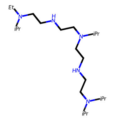 CCN(CCNCCN(CCNCCN(C(C)C)C(C)C)C(C)C)C(C)C